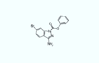 Nc1nn(C(=O)Oc2ccccc2)c2cc(Br)ccc12